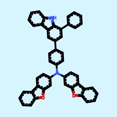 c1ccc(-c2cc(-c3ccc(N(c4ccc5c(c4)oc4ccccc45)c4ccc5c(c4)oc4ccccc45)cc3)cc3c2[nH]c2ccccc23)cc1